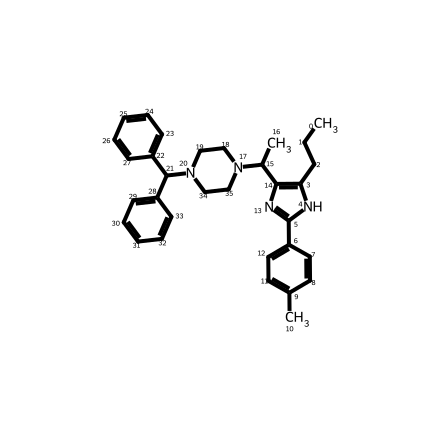 CCCc1[nH]c(-c2ccc(C)cc2)nc1C(C)N1CCN(C(c2ccccc2)c2ccccc2)CC1